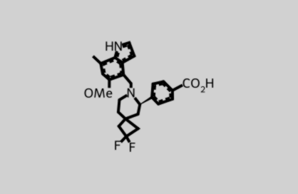 COc1cc(C)c2[nH]ccc2c1CN1CCC2(C[C@@H]1c1ccc(C(=O)O)cc1)CC(F)(F)C2